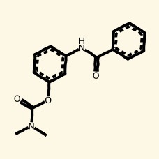 CN(C)C(=O)Oc1cccc(NC(=O)c2ccccc2)c1